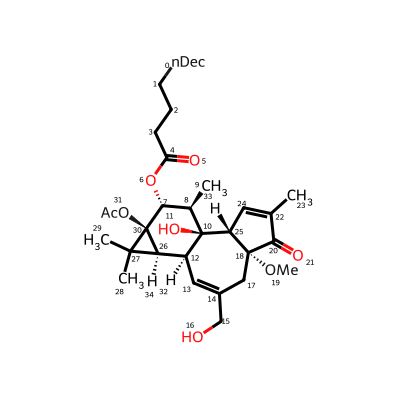 CCCCCCCCCCCCCC(=O)O[C@@H]1[C@@H](C)[C@@]2(O)[C@@H](C=C(CO)C[C@]3(OC)C(=O)C(C)=C[C@@H]23)[C@H]2C(C)(C)[C@]12OC(C)=O